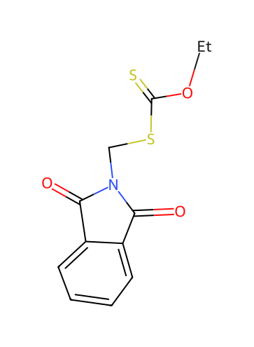 CCOC(=S)SCN1C(=O)c2ccccc2C1=O